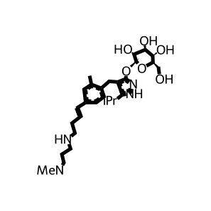 CNCCCNCC/C=C/c1ccc(Cc2c(O[C@@H]3O[C@H](CO)[C@@H](O)[C@H](O)[C@H]3O)n[nH]c2C(C)C)c(C)c1